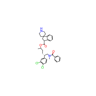 CC(CC[C@H](CN(C)C(=O)c1ccccc1)c1ccc(Cl)c(Cl)c1)OC(=O)C1CC2(CCNCC2)c2ccccc21